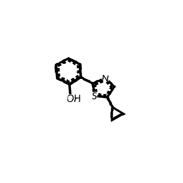 Oc1ccccc1-c1ncc(C2CC2)s1